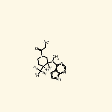 [2H]C([2H])([2H])[C@]1([2H])CCN(C(=O)C[N+]#[C-])C[C@]1([2H])N(C)c1ncnc2[nH]ccc12